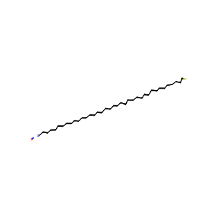 O=C=NCCCCCCCCCCCCCCCCCCCCCCCCCCCCCCCCCCCCCCS